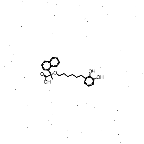 CC(OCCCCCCc1cccc(O)c1O)(C(=O)O)c1cccc2ccccc12